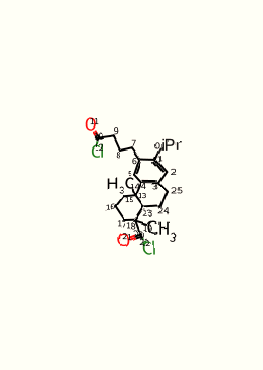 CC(C)c1cc2c(cc1CCCC(=O)Cl)C1(C)CCCC(C)(C(=O)Cl)C1CC2